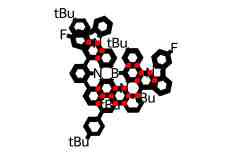 CC(C)(C)C1=CC=C(C2=CC(C3C=CC=C(c4cccc(-c5ccc(C(C)(C)C)cc5)c4)C3N3c4cc(-n5c6ccccc6c6cc(F)ccc65)ccc4B4c5ccc(-n6c7ccccc7c7cc(F)ccc76)cc5N(c5c(-c6cccc(C7=CCC(C(C)(C)C)C=C7)c6)cccc5-c5cccc(-c6ccc(C(C)(C)C)cc6)c5)c5cc(C(C)(C)C)cc3c54)=CCC2)CC1